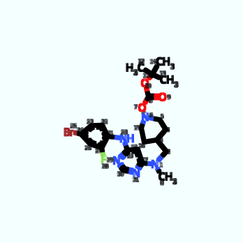 CN(CC1CCN(OC(=O)OC(C)(C)C)CC1)c1cc(Nc2ccc(Br)cc2F)ncn1